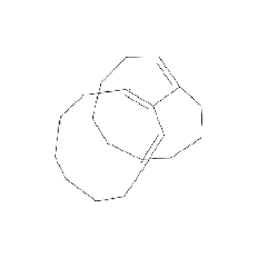 [C]1=C(/C2=C\CCCCCCCC2)\C=C\CCCCCC/1